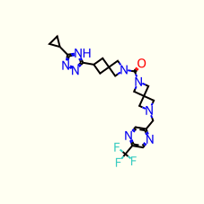 O=C(N1CC2(CC(c3nnc(C4CC4)[nH]3)C2)C1)N1CC2(CN(Cc3cnc(C(F)(F)F)cn3)C2)C1